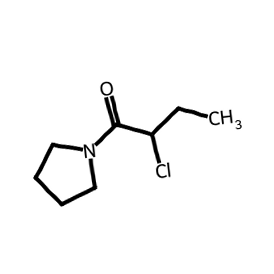 CCC(Cl)C(=O)N1CCCC1